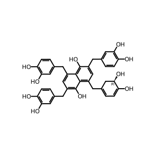 OC1=CC=C(Cc2cc(Cc3ccc(O)c(O)c3)c(O)c3c(Cc4ccc(O)c(O)c4)cc(Cc4ccc(O)c(O)c4)c(O)c23)C[C@H]1O